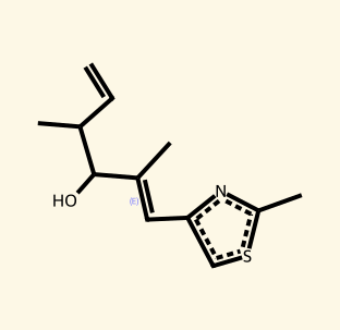 C=CC(C)C(O)/C(C)=C/c1csc(C)n1